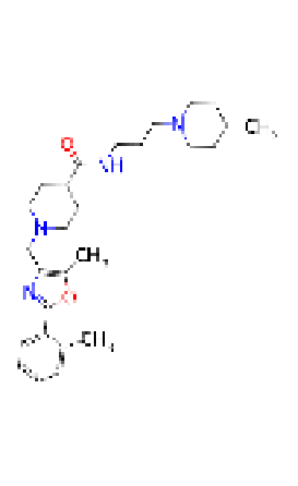 Cc1ccccc1-c1nc(CN2CCC(C(=O)NCCCN3CCC(C)CC3)CC2)c(C)o1